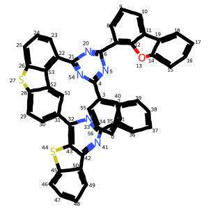 c1ccc(-c2nc(-c3cccc4c3oc3ccccc34)nc(-c3cccc4sc5ccc(-c6nc(-c7ccccc7)nc7c6sc6ccccc67)cc5c34)n2)cc1